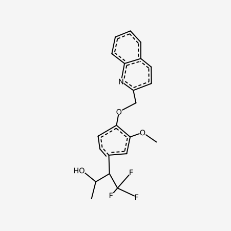 COc1cc(C(C(C)O)C(F)(F)F)ccc1OCc1ccc2ccccc2n1